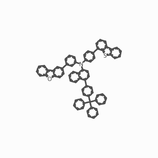 c1ccc(C(c2ccccc2)(c2ccccc2)c2ccc(-c3ccc(N(c4ccc(-c5cccc6c5sc5ccccc56)cc4)c4cccc(-c5ccc6oc7ccccc7c6c5)c4)c4ccccc34)cc2)cc1